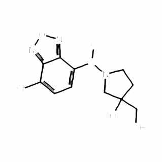 [O-][S+](c1ccc(Cl)c2nonc12)N1CCC(O)(CO)C1